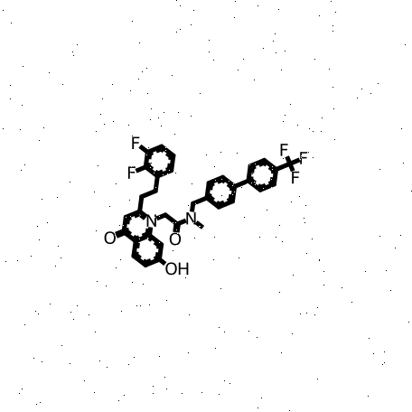 CN(Cc1ccc(-c2ccc(C(F)(F)F)cc2)cc1)C(=O)Cn1c(CCc2cccc(F)c2F)cc(=O)c2ccc(O)cc21